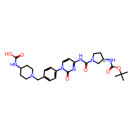 CC(C)(C)OC(=O)N[C@@H]1CCN(C(=O)Nc2ccn(-c3ccc(CN4CCC(NC(=O)O)CC4)cc3)c(=O)n2)C1